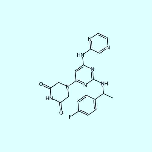 CC(Nc1nc(Nc2cnccn2)cc(N2CC(=O)NC(=O)C2)n1)c1ccc(F)cc1